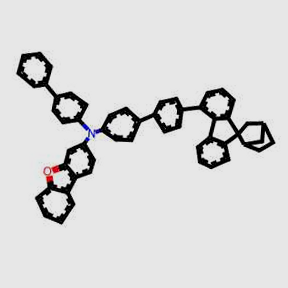 c1ccc(-c2ccc(N(c3ccc(-c4ccc(-c5cccc6c5-c5ccccc5C65CC6CCC5C6)cc4)cc3)c3ccc4c(c3)oc3ccccc34)cc2)cc1